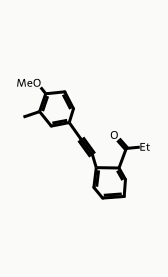 CCC(=O)c1ccccc1C#Cc1ccc(OC)c(C)c1